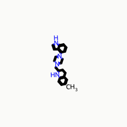 Cc1ccc2c(c1)CCC(CN1CCN(c3cccc4[nH]ccc34)CC1)N2